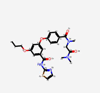 CCCOc1cc(Oc2ccc(C(=O)N(C)CC(=O)N(C)C)cc2)cc(C(=O)Nc2nccs2)c1